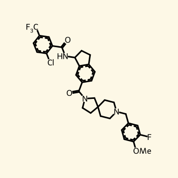 COc1ccc(CN2CCC3(CC2)CCN(C(=O)c2ccc4c(c2)C(NC(=O)c2cc(C(F)(F)F)ccc2Cl)CC4)C3)cc1F